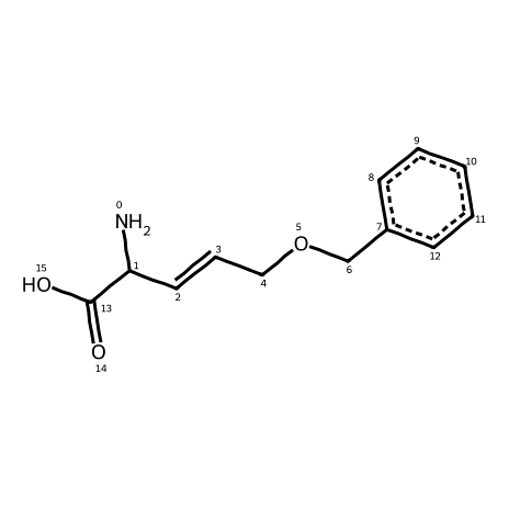 NC(C=CCOCc1ccccc1)C(=O)O